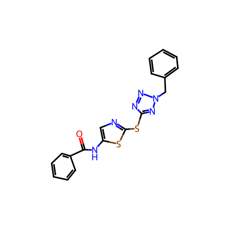 O=C(Nc1cnc(Sc2nnn(Cc3ccccc3)n2)s1)c1ccccc1